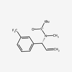 C=C[C@H](c1cccc(C(F)(F)F)c1)N(C)[S+]([O-])C(C)(C)C